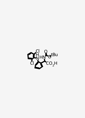 CC(C)(C)OC(=O)NC(C(=O)O)c1ccccc1Nc1c(Cl)cccc1Cl